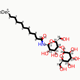 CCCCCCCCCCCCCCCCCCCC(=O)N[C@@H]1O[C@H](CO)[C@@H](O[C@@H]2O[C@H](CO)[C@@H](O)[C@H](O)[C@@H]2O)[C@H](O)[C@@H]1O